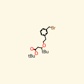 CC(C)(C)OC(=O)CC(OCCc1cccc(CBr)c1)C(C)(C)C